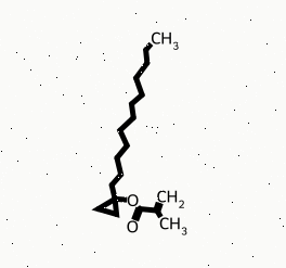 C=C(C)C(=O)OC1(CCCCCCCCCCCC)CC1